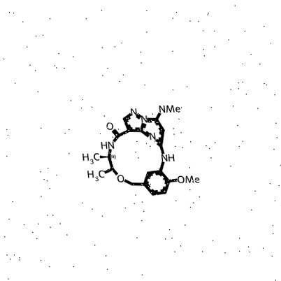 CNc1cc2nc3c(cnn13)C(=O)N[C@H](C)C(C)OCc1ccc(OC)c(c1)N2